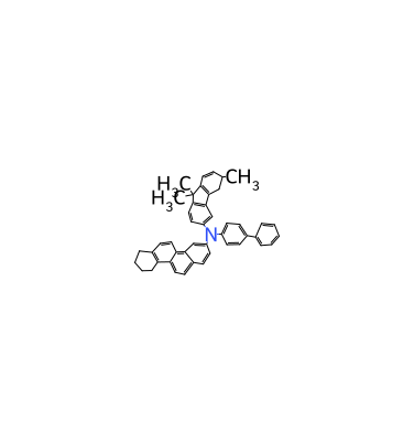 CC1C=CC2=C(C1)c1cc(N(c3ccc(-c4ccccc4)cc3)c3ccc4ccc5c6c(ccc5c4c3)CCCC6)ccc1C2(C)C